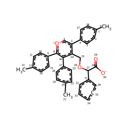 Cc1ccc(-c2c[o+]c(-c3ccc(C)cc3)c(-c3ccc(C)cc3)c2COC(C(=O)[O-])c2ccccc2)cc1